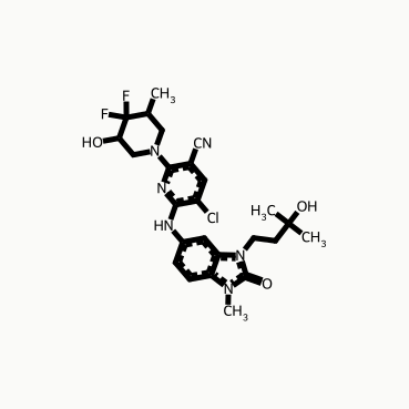 CC1CN(c2nc(Nc3ccc4c(c3)n(CCC(C)(C)O)c(=O)n4C)c(Cl)cc2C#N)CC(O)C1(F)F